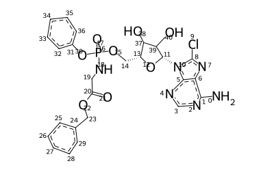 Nc1ncnc2c1nc(Cl)n2[C@@H]1O[C@H](COP(=O)(NCC(=O)OCc2ccccc2)Oc2ccccc2)C(O)C1O